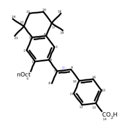 CCCCCCCCc1cc2c(cc1/C(C)=C/c1ccc(C(=O)O)cc1)C(C)(C)CCC2(C)C